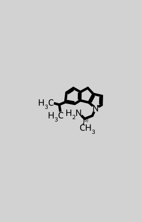 CC(C)c1ccc2c(c1)-c1c(ccn1C[C@H](C)N)C2